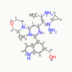 C/C(N)=C(\c1cc(N2CCOCC2C)nc(-c2cc(CO)cc3[nH]ccc23)n1)N(N)C1CC1